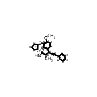 COc1ccc(C(C#Cc2ccccc2)[C@H](C)C(=O)O)cc1OC1CCCC1